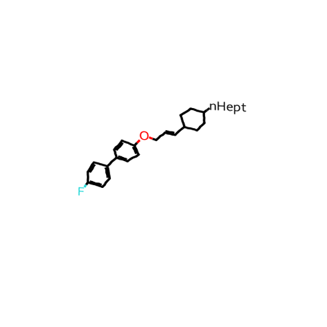 CCCCCCCC1CCC(/C=C/COc2ccc(-c3ccc(F)cc3)cc2)CC1